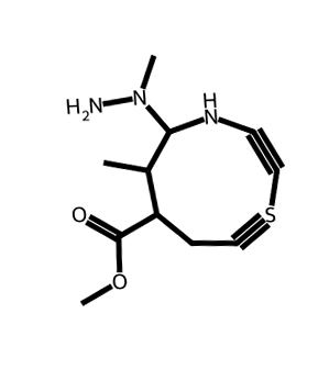 COC(=O)C1CC#SC#CNC(N(C)N)C1C